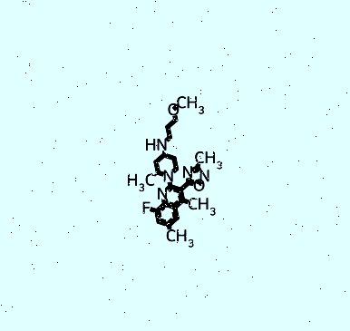 COCCCN[C@@H]1CCN(c2nc3c(F)cc(C)cc3c(C)c2-c2nc(C)no2)[C@H](C)C1